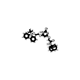 CC(C)(C)[Si](OCCOc1cc(OCC(=O)NC23CC4CC(CC(C4)C2)C3)nc(=O)[nH]1)(c1ccccc1)c1ccccc1